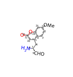 COc1ccc2c(C[C@H](N)C=O)cc(=O)oc2c1